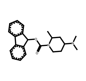 CC1CC(N(C)C)CCN1C(=O)OC1c2ccccc2-c2ccccc21